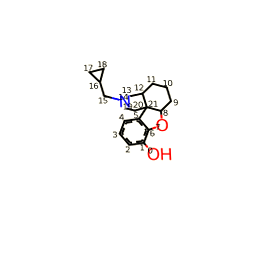 Oc1cccc2c1OC1CCCC3CN(CC4CC4)CCC231